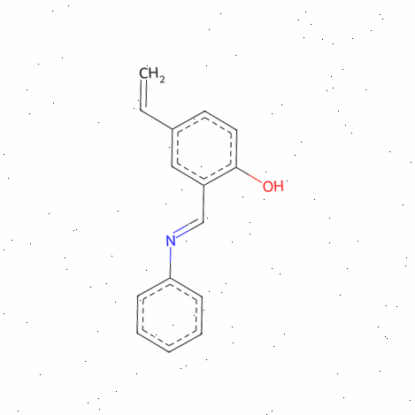 C=Cc1ccc(O)c(C=Nc2ccccc2)c1